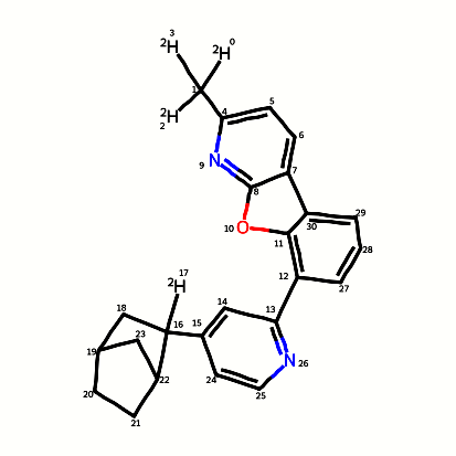 [2H]C([2H])([2H])c1ccc2c(n1)oc1c(-c3cc(C4([2H])CC5CCC4C5)ccn3)cccc12